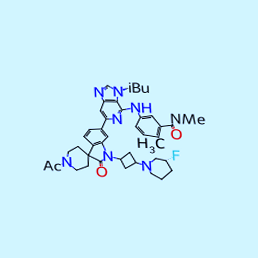 CC[C@H](C)n1cnc2cc(-c3ccc4c(c3)N(C3CC(N5CCC[C@@H](F)C5)C3)C(=O)C43CCN(C(C)=O)CC3)nc(Nc3ccc(C)c(C(=O)NC)c3)c21